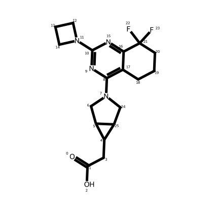 O=C(O)CC1C2CN(c3nc(N4CCC4)nc4c3CCCC4(F)F)CC12